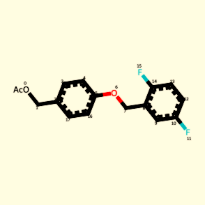 CC(=O)OCc1ccc(OCc2cc(F)ccc2F)cc1